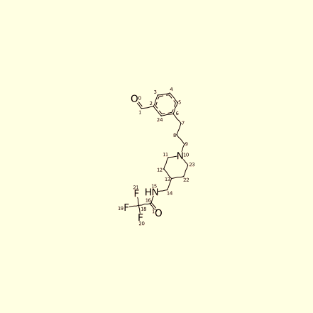 O=Cc1cccc(CCCN2CCC(CNC(=O)C(F)(F)F)CC2)c1